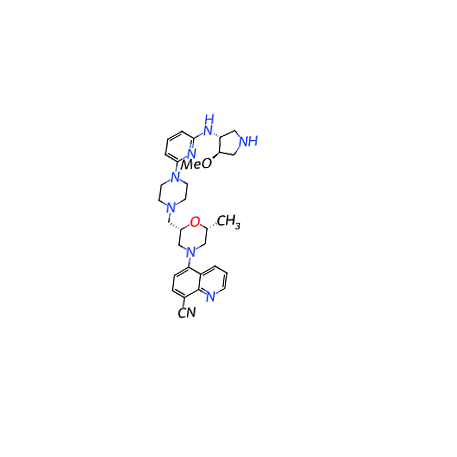 CO[C@@H]1CNC[C@H]1Nc1cccc(N2CCN(C[C@H]3CN(c4ccc(C#N)c5ncccc45)C[C@@H](C)O3)CC2)n1